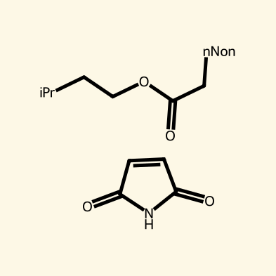 CCCCCCCCCCC(=O)OCCC(C)C.O=C1C=CC(=O)N1